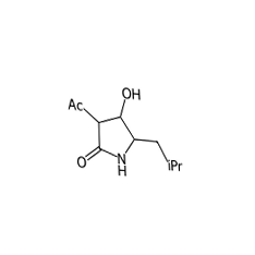 CC(=O)C1C(=O)NC(CC(C)C)C1O